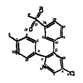 Cc1ccc(-c2ncc(Cl)cc2-c2cccc(S(C)(=O)=O)c2)cn1